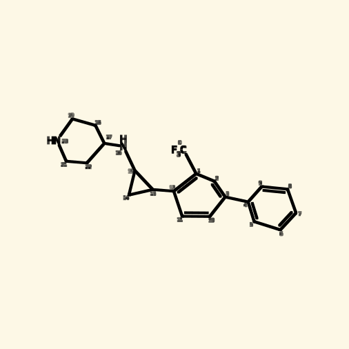 FC(F)(F)c1cc(-c2ccccc2)ccc1C1CC1NC1CCNCC1